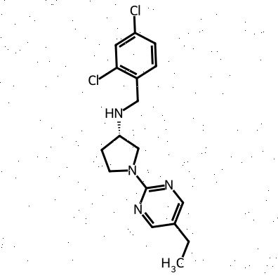 CCc1cnc(N2CC[C@H](NCc3ccc(Cl)cc3Cl)C2)nc1